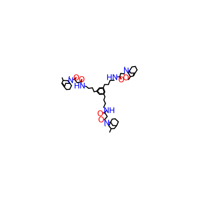 CC1C=C2CCCC(N(C)C(=O)CC(=O)NCCCCc3cc(CCCCNC(=O)CC(=O)N(C)C45CCCC(=CC(C)C4)C5)cc(CCCCNC(=O)CC(=O)N(C)C45CCCC(CC(C)C4)C5)c3)(C2)C1